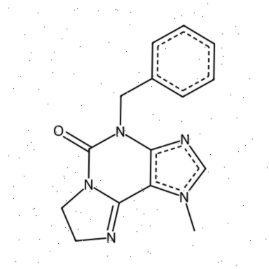 Cn1cnc2c1C1=NCCN1C(=O)N2Cc1ccccc1